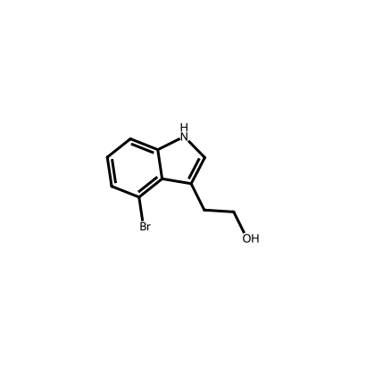 OCCc1c[nH]c2cccc(Br)c12